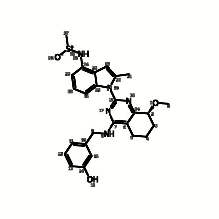 CO[C@H]1CCCc2c(NCc3cccc(O)c3)nc(-n3c(C)cc4c(N[S+](C)[O-])cccc43)nc21